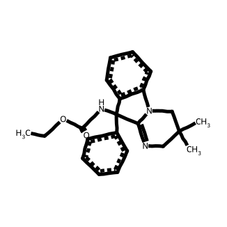 CCOC(=O)NC1(c2ccccc2)C2=NCC(C)(C)CN2c2ccccc21